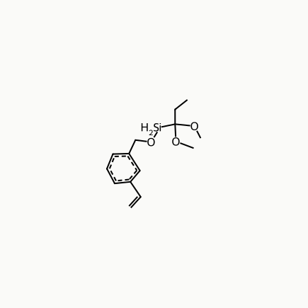 C=Cc1cccc(CO[SiH2]C(CC)(OC)OC)c1